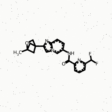 CC12CC(c3cn4cc(NC(=O)c5cccc(C(F)F)n5)ccc4n3)(CO1)C2